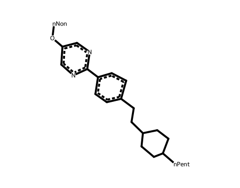 CCCCCCCCCOc1cnc(-c2ccc(CCC3CCC(CCCCC)CC3)cc2)nc1